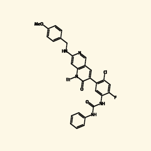 CCn1c(=O)c(-c2cc(NC(=O)Nc3ccccc3)c(F)cc2Cl)cc2cnc(NCc3ccc(OC)cc3)cc21